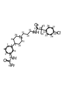 CC(C)C(=O)Nc1cccc(C2CCN(CCCNC(=O)C(C)(C)c3ccc(Cl)cc3)CC2)c1